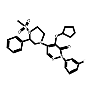 CS(=O)(=O)N1CCN(c2cnn(-c3cccc(F)c3)c(=O)c2OC2CCCC2)CC1c1ccccc1